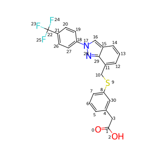 O=C(O)Cc1cccc(SCc2cccc3cn(-c4ccc(C(F)(F)F)cc4)nc23)c1